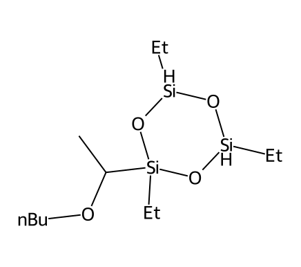 CCCCOC(C)[Si]1(CC)O[SiH](CC)O[SiH](CC)O1